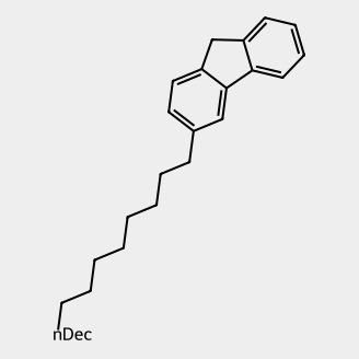 CCCCCCCCCCCCCCCCCCc1ccc2c(c1)-c1ccccc1C2